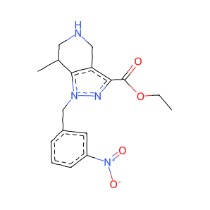 CCOC(=O)c1nn(Cc2cccc([N+](=O)[O-])c2)c2c1CNCC2C